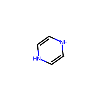 [C]1=CNC=CN1